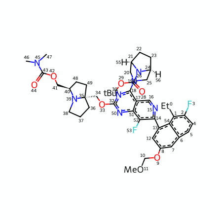 CCc1c(F)ccc2cc(OCOC)cc(-c3ncc4c(N5C[C@H]6CC[C@@H](C5)N6C(=O)OC(C)(C)C)nc(OC[C@]56CCCN5[C@@H](COC(=O)N(C)C)CC6)nc4c3F)c12